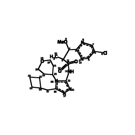 COC(c1ncc(Cl)cn1)C(C)S(=O)(=O)Nc1nnc(CC2CCC2)n1C1CCOCC1